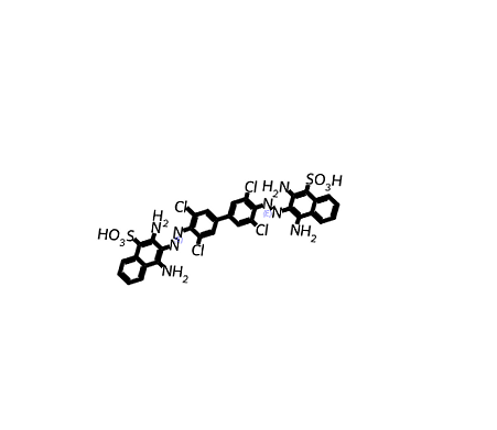 Nc1c(/N=N/c2c(Cl)cc(-c3cc(Cl)c(/N=N/c4c(N)c(S(=O)(=O)O)c5ccccc5c4N)c(Cl)c3)cc2Cl)c(N)c2ccccc2c1S(=O)(=O)O